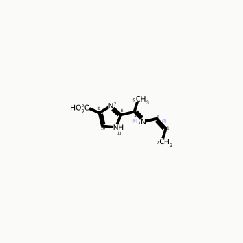 C/C=C\N=C(/C)c1nc(C(=O)O)c[nH]1